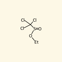 CCOS(=O)C(Cl)(Cl)Cl